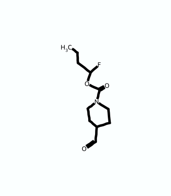 CCCC(F)OC(=O)N1CCC(C=O)CC1